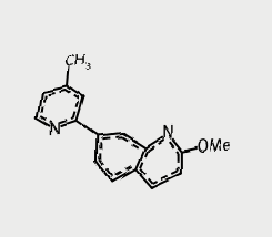 COc1ccc2ccc(-c3cc(C)ccn3)cc2n1